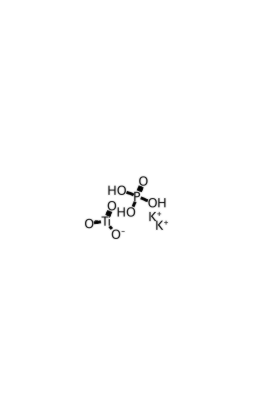 O=P(O)(O)O.[K+].[K+].[O]=[Ti]([O-])[O-]